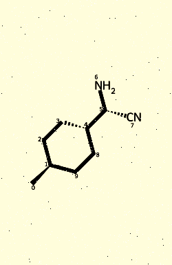 C[C@H]1CC[C@H]([C@H](N)C#N)CC1